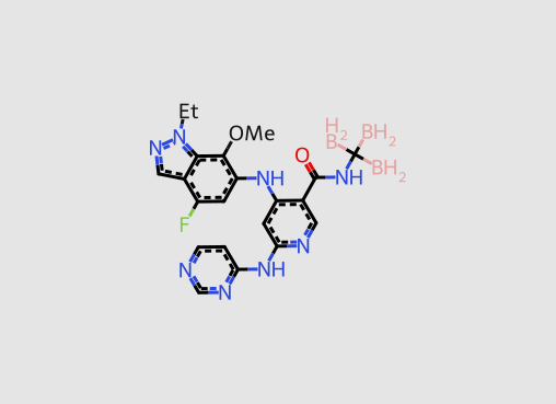 BC(B)(B)NC(=O)c1cnc(Nc2ccncn2)cc1Nc1cc(F)c2cnn(CC)c2c1OC